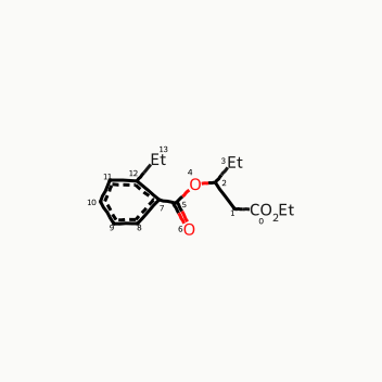 CCOC(=O)CC(CC)OC(=O)c1ccccc1CC